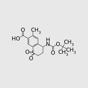 Cc1cc2c(cc1C(=O)O)S(=O)(=O)CCC2NC(=O)OC(C)(C)C